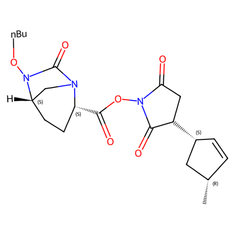 CCCCON1C(=O)N2C[C@@H]1CC[C@H]2C(=O)ON1C(=O)CC([C@@H]2C=C[C@H](C)C2)C1=O